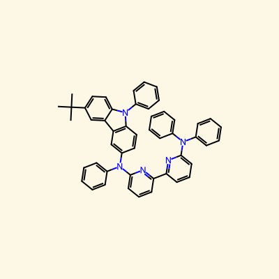 CC(C)(C)c1ccc2c(c1)c1cc(N(c3ccccc3)c3cccc(-c4cccc(N(c5ccccc5)c5ccccc5)n4)n3)ccc1n2-c1ccccc1